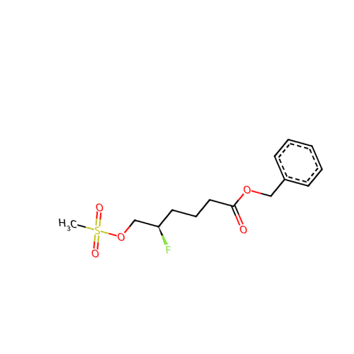 CS(=O)(=O)OC[C@H](F)CCCC(=O)OCc1ccccc1